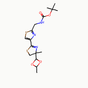 CC1OC(C2(C)CSC(c3csc(CNC(=O)OC(C)(C)C)n3)=N2)O1